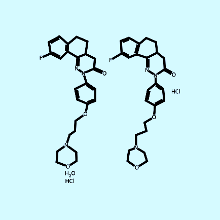 Cl.Cl.O.O=C1CC2CCc3ccc(F)cc3C2=NN1c1ccc(OCCCN2CCOCC2)cc1.O=C1CC2CCc3ccc(F)cc3C2=NN1c1ccc(OCCCN2CCOCC2)cc1